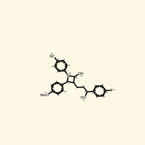 COc1ccc(C2C(CCC(O)c3ccc(F)cc3)C(O)N2c2ccc(C#N)cc2)cc1